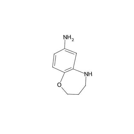 Nc1ccc2c(c1)NCCCO2